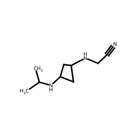 CC(C)NC1CC(NCC#N)C1